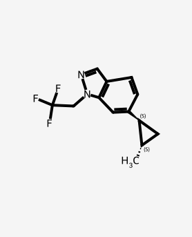 C[C@H]1C[C@@H]1c1ccc2cnn(CC(F)(F)F)c2c1